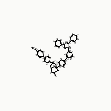 CC1CC2CC(C)(c3ccc(-c4ccc(C#N)cc4)cc3)CC(c3ccc(-c4cccc(-c5nc(-c6ccccc6)nc(-c6ccccc6)n5)c4)cc3)(C1)C2